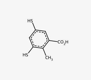 Cc1c(S)cc(S)cc1C(=O)O